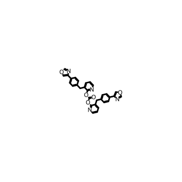 O=C(Oc1ncccc1Cc1ccc(-c2cocn2)cc1)Oc1ncccc1Cc1ccc(-c2cocn2)cc1